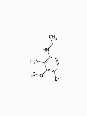 CCNc1ccc(Br)c(OC)c1N